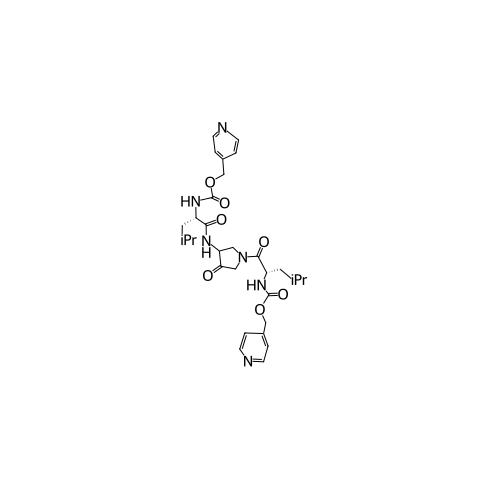 CC(C)C[C@H](NC(=O)OCc1ccncc1)C(=O)NC1CN(C(=O)[C@H](CC(C)C)NC(=O)OCc2ccncc2)CC1=O